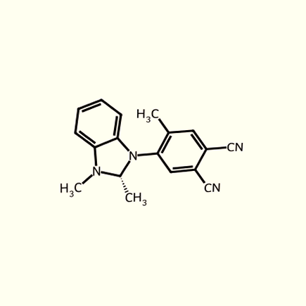 Cc1cc(C#N)c(C#N)cc1N1c2ccccc2N(C)[C@H]1C